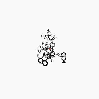 CC(C)[Si](C#Cc1c(F)ccc2cccc(-c3ncc4c(N(C)[C@@H]5CCN(C(=O)OC(C)(C)C)[C@@H]5C)nc(OCC56CCCN5CC5(CC5)C6)nc4c3F)c12)(C(C)C)C(C)C